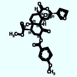 COC(=O)[C@@H]1C[C@H](OC(=O)c2ccc(OC)cc2)C(=O)[C@@H]2[C@@]3(C)C[C@@H](c4ccoc4)OC(=O)[C@H]3CC[C@]21C